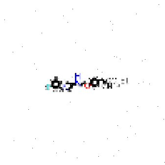 CCOC(=O)[C@H](C#N)Cc1ccc(OCCNC2C3CN(Cc4cccc(F)c4)CC32)cc1